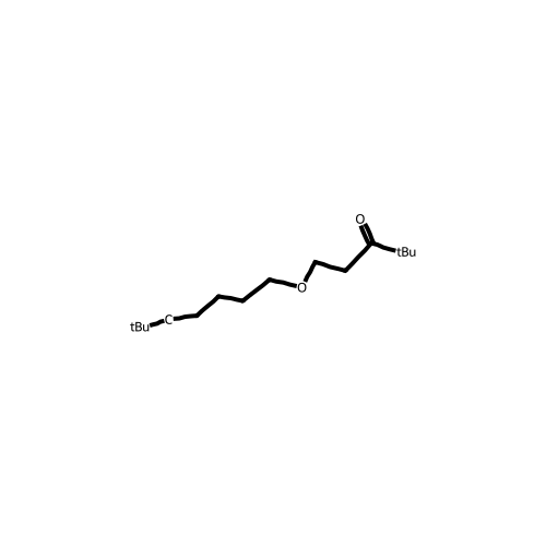 CC(C)(C)CCCCCOCCC(=O)C(C)(C)C